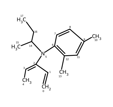 C=C/C(=C\C)N(c1ccc(C)cc1C)C(C)CC